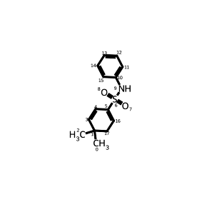 CC1(C)C=CC(S(=O)(=O)Nc2ccccc2)=CC1